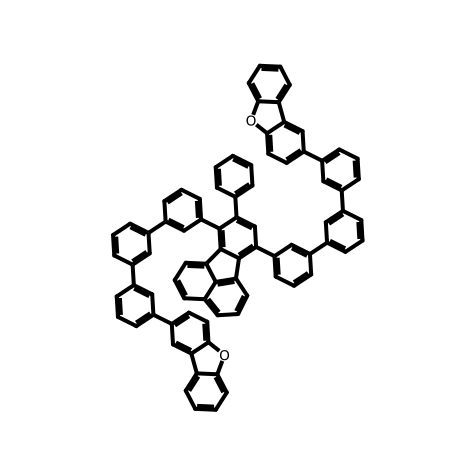 c1ccc(-c2cc(-c3cccc(-c4cccc(-c5cccc(-c6ccc7oc8ccccc8c7c6)c5)c4)c3)c3c(c2-c2cccc(-c4cccc(-c5cccc(-c6ccc7oc8ccccc8c7c6)c5)c4)c2)-c2cccc4cccc-3c24)cc1